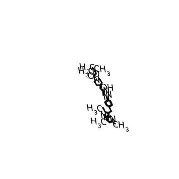 CCc1nn2c(C)cc(C)nc2c1Cc1ccc(-n2cc(CC3(O)CCN(C(=O)OC(C)(C)C)CC3)nn2)cc1